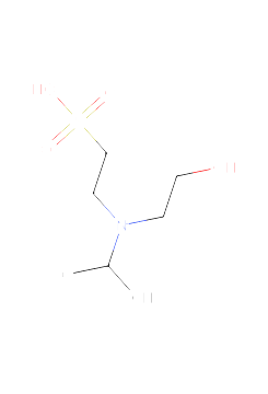 CC(C)N(CCO)CCS(=O)(=O)O